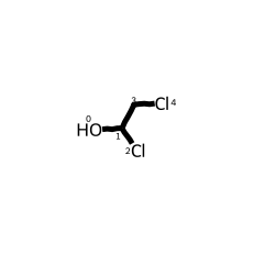 OC(Cl)CCl